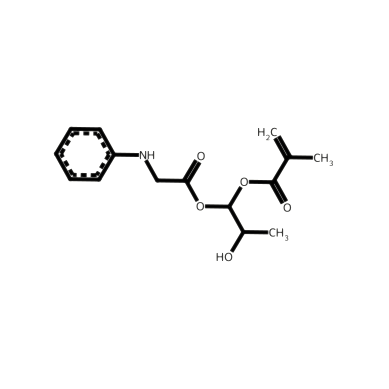 C=C(C)C(=O)OC(OC(=O)CNc1ccccc1)C(C)O